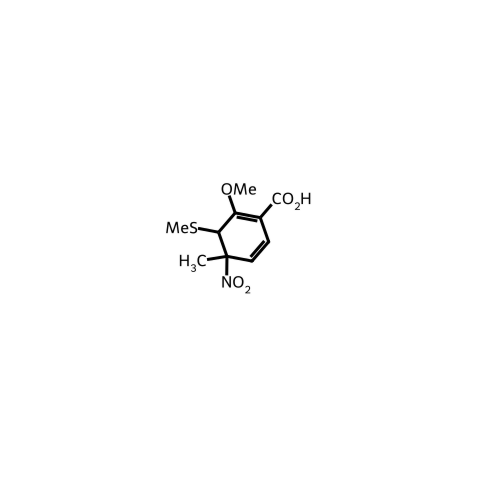 COC1=C(C(=O)O)C=CC(C)([N+](=O)[O-])C1SC